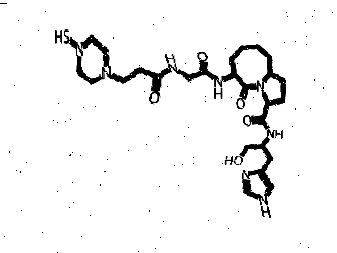 O=C(CCN1CCN(S)CC1)NCC(=O)NC1CCCCC2CCC(C(=O)NC(CO)Cc3c[nH]cn3)N2C1=O